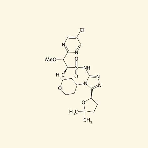 CO[C@H](c1ncc(Cl)cn1)[C@H](C)S(=O)(=O)Nc1nnc([C@H]2CCC(C)(C)O2)n1C1CCOCC1